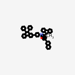 CC1(c2ccccc2)c2ccccc2-c2cccc(N(c3ccc(-c4ccc5ccccc5c4)cc3)c3ccc(-c4ccc5c(c4)c(-c4ccccc4)c(-c4ccccc4)c4ccccc45)cc3)c21